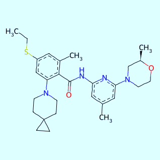 CCSc1cc(C)c(C(=O)Nc2cc(C)cc(N3CCO[C@H](C)C3)n2)c(N2CCC3(CC2)CC3)c1